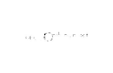 CCCCCCCCCCOc1ccc(C[C]=O)cc1